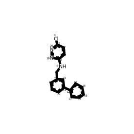 Clc1ccc(NCc2cccc(-c3ccccc3)c2)nn1